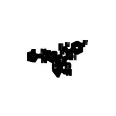 N#CC1(NC(=O)[C@H](CS(=O)(=O)Cc2nc(-c3cccs3)no2)N[C@@H](c2ccc(F)cc2)C(F)(F)F)CC1